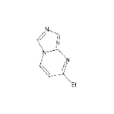 CCc1ccn2cncc2n1